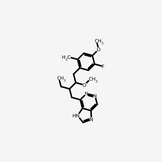 CCC(Cc1nncc2nc[nH]c12)C(Cc1cc(F)c(OC)cc1C)OC